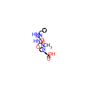 CN1C(=O)C(NC(=O)c2n[nH]c(Cc3ccccc3)n2)COc2ccc(C#CC3(O)COC3)nc21